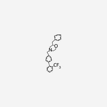 FC(F)(F)c1ccccc1-c1ccc(CN2CCOC(Cc3ccccc3)C2)cc1